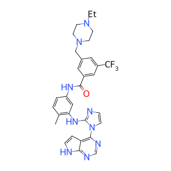 CCN1CCN(Cc2cc(C(=O)Nc3ccc(C)c(Nc4nccn4-c4ncnc5[nH]ccc45)c3)cc(C(F)(F)F)c2)CC1